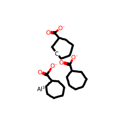 O=C([O-])C1CCCCCC1.O=C([O-])C1CCCCCC1.O=C([O-])C1CCCCCC1.[Al+3]